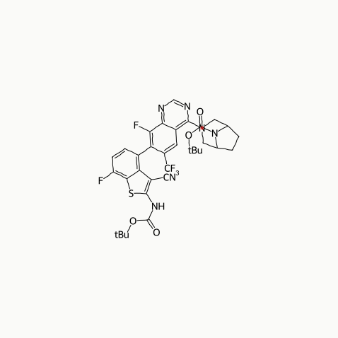 CC(C)(C)OC(=O)Nc1sc2c(F)ccc(-c3c(C(F)(F)F)cc4c(N5CC6CCC(C5)N6C(=O)OC(C)(C)C)ncnc4c3F)c2c1C#N